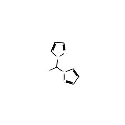 [SiH3]C(n1cccn1)n1cccn1